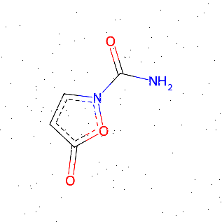 NC(=O)n1ccc(=O)o1